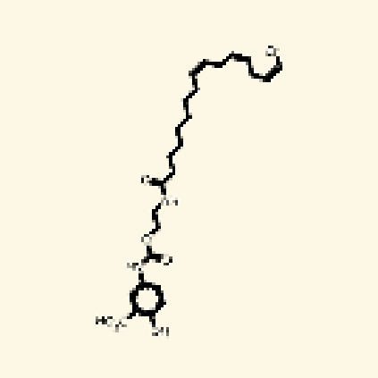 CC/C=C\C/C=C\C/C=C\CCCCCCCC(=O)NCCOC(=O)Nc1ccc(O)c(C(=O)O)c1